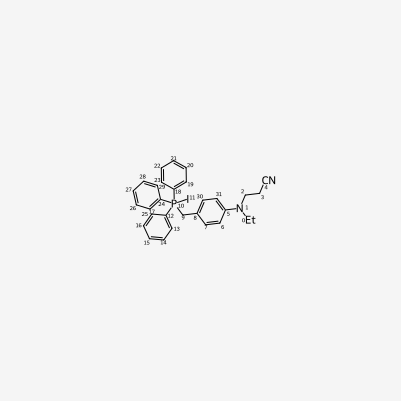 CCN(CCC#N)c1ccc(CP(I)(c2ccccc2)(c2ccccc2)c2ccccc2)cc1